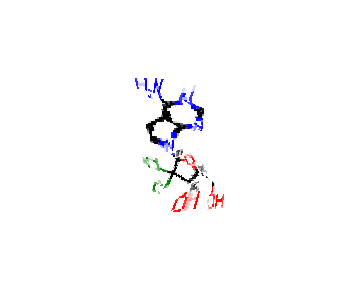 Nc1ncnc2c1ccn2[C@@H]1O[C@H](CO)[C@H](O)C1(Cl)Cl